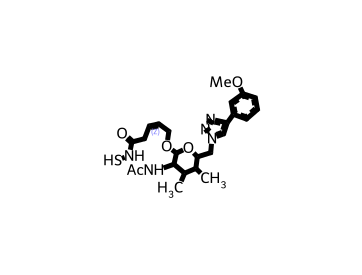 COc1cccc(-c2cn(CC3OC(OC/C=C\CC(=O)NS)C(NC(C)=O)C(C)C3C)nn2)c1